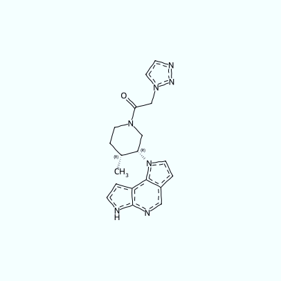 C[C@@H]1CCN(C(=O)Cn2ccnn2)C[C@@H]1n1ccc2cnc3[nH]ccc3c21